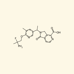 Cc1cc(C(C)N2Cc3c(ccnc3C(=O)O)C2=O)cnc1OCC(C)(F)P